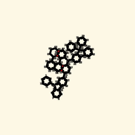 c1ccc(-n2c3ccccc3c3ccc(-c4ccc(N(c5ccc6c(c5)C(c5ccccc5)(c5ccccc5)c5ccccc5-6)c5ccccc5-c5cccc6cccc(C7CCCCC7)c56)cc4)cc32)cc1